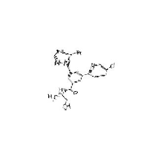 CC(C)c1ncnn1-c1cc(C(=O)N[C@@H](C)CO)cc(-c2ccc(Cl)cn2)c1